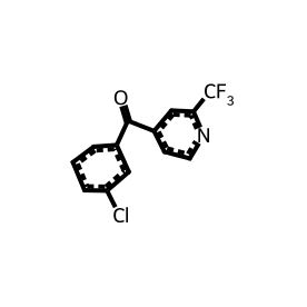 O=C(c1cccc(Cl)c1)c1ccnc(C(F)(F)F)c1